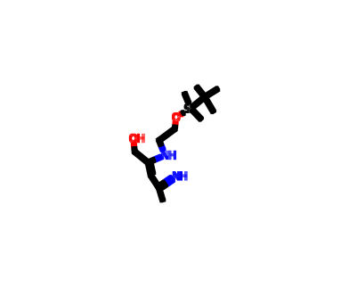 CC(=N)/C=C(/CO)NCCO[Si](C)(C)C(C)(C)C